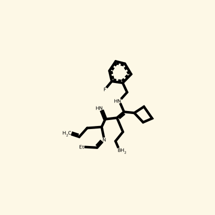 BCC/C(C(=N)C(CC=C)/N=C\CC)=C(/NCc1ccccc1F)C1CCC1